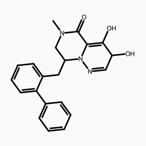 CN1CC(Cc2ccccc2-c2ccccc2)N2N=CC(O)C(O)=C2C1=O